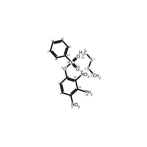 CSSC.O=[N+]([O-])c1ccc(OS(=O)(=O)c2ccccc2)c([N+](=O)[O-])c1P